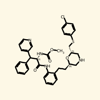 COC(=O)N[C@H](C(=O)Nc1ccccc1CC[C@@H]1CNC[C@@H](CSc2ccc(Cl)cc2)O1)C(c1ccccc1)c1cccnc1